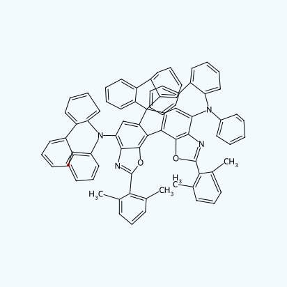 Cc1cccc(C)c1-c1nc2c(N(c3ccccc3)c3ccccc3-c3ccccc3)cc3c(c2o1)-c1c(cc(N(c2ccccc2)c2ccccc2-c2ccccc2)c2nc(-c4c(C)cccc4C)oc12)C31c2ccccc2-c2ccccc21